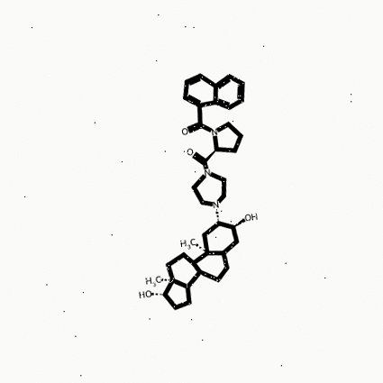 C[C@]12C[C@H](N3CCN(C(=O)[C@@H]4CCCN4C(=O)c4cccc5ccccc45)CC3)[C@@H](O)CC1CCC1C2CC[C@@]2(C)C1CC[C@@H]2O